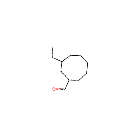 CCC1CCCCCC([C]=O)C1